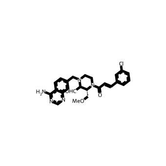 COC[C@@H]1C(C=O)N(Cc2ccc3c(N)ncnc3c2)CCN1C(=O)C=Cc1cccc(Cl)c1